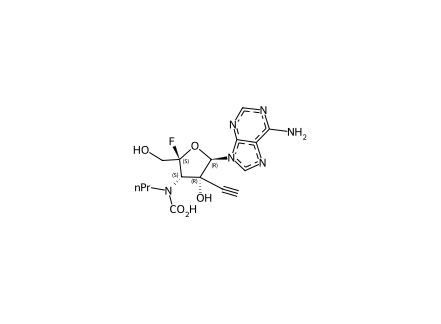 C#C[C@]1(O)[C@H](n2cnc3c(N)ncnc32)O[C@@](F)(CO)[C@H]1N(CCC)C(=O)O